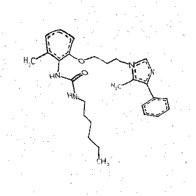 CCCCCCNC(=O)Nc1c(C)cccc1OCCCn1cnc(-c2ccccc2)c1C